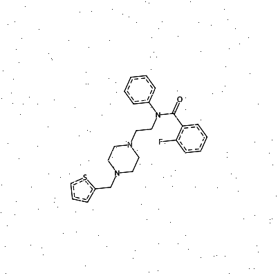 O=C(c1ccccc1F)N(CCN1CCN(Cc2cccs2)CC1)c1ccccc1